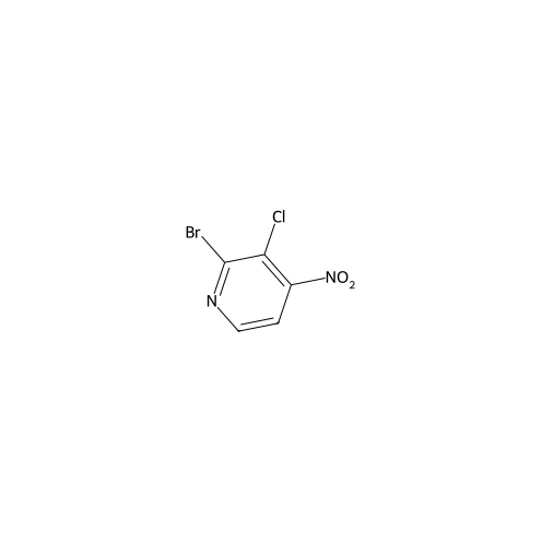 O=[N+]([O-])c1ccnc(Br)c1Cl